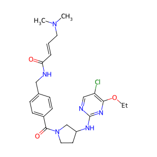 CCOc1nc(NC2CCN(C(=O)c3ccc(CNC(=O)/C=C/CN(C)C)cc3)C2)ncc1Cl